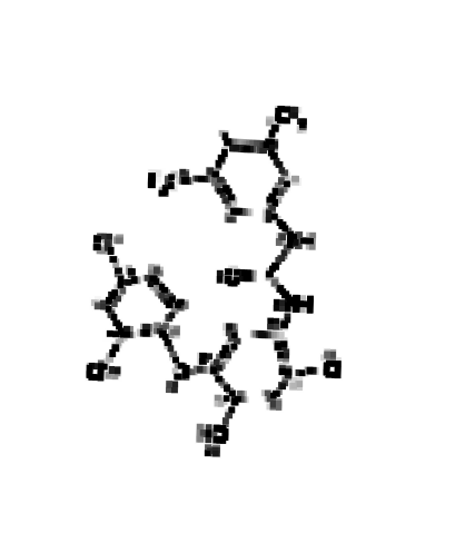 O=C(Nc1cc(C(F)(F)F)cc(C(F)(F)F)c1)Nc1cc(Oc2ccc(Cl)cc2Cl)c(O)cc1Cl